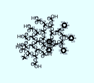 CC(C)(C)OCC(COCC(=O)O)OCC(COCC(=O)O)OCC(COCC(=O)O)OCC(COCC(=O)O)OCC(COCC(=O)O)OCC(COCC(=O)O)OCC(COCC(=O)O)OCC(COCC(=O)O)OCC(COCC(=O)O)OCC(COCC(=O)O)OCC(COc1ccccc1)OCC(COc1ccccc1)OCC(COc1ccccc1)OCC(COc1ccccc1)OCC(O)COc1ccccc1